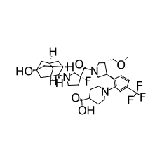 COC[C@H]1CN(C(=O)[C@@]2(F)CCN([C@@H]3[C@@H]4C[C@@H]5C[C@H]3C[C@@](O)(C5)C4)C2)C[C@@H]1c1ccc(C(F)(F)F)cc1N1CCC(C(=O)O)CC1